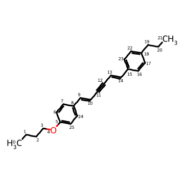 CCCCOc1ccc(/C=C/C#C/C=C/c2ccc(CCC)cc2)cc1